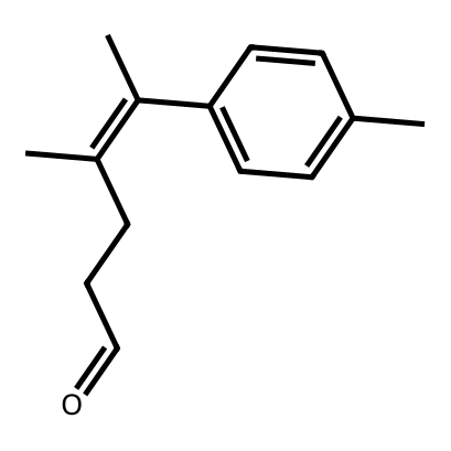 CC(CCC=O)=C(C)c1ccc(C)cc1